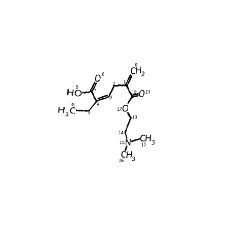 C=C(CC=C(CC)C(=O)O)C(=O)OCCN(C)C